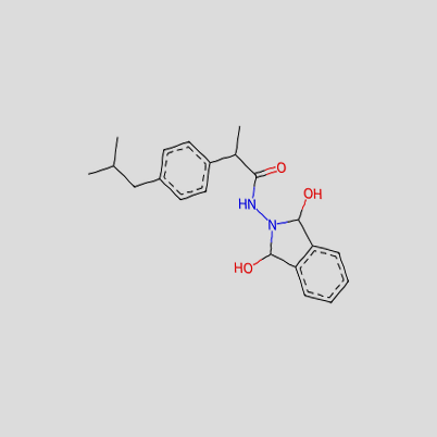 CC(C)Cc1ccc(C(C)C(=O)NN2C(O)c3ccccc3C2O)cc1